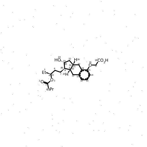 CCCC(=O)O[C@@H](CC)CC[C@@H]1[C@H]2Cc3cccc(OCC(=O)O)c3C[C@H]2C[C@H]1O